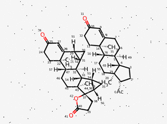 CC(=O)[C@H]1CC[C@H]2[C@@H]3CCC4=CC(=O)CC[C@]4(C)[C@H]3CC[C@]12C.C[C@]12CCC(=O)C=C1[C@@H]1C[C@@H]1[C@H]1[C@@H]3[C@@H]4C[C@@H]4[C@@]4(CCC(=O)O4)[C@@]3(C)CC[C@@H]12